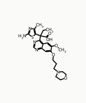 CCC(C(=O)O)(c1sc(N)nc1C)c1ncnc2cc(OCCCN3CCOCC3)c(OC)cc12